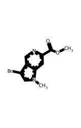 COC(=O)c1cc2c(cn1)c(Br)cn2C